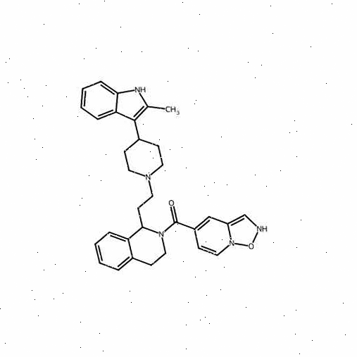 Cc1[nH]c2ccccc2c1C1CCN(CCC2c3ccccc3CCN2C(=O)C2=CC3=CNON3C=C2)CC1